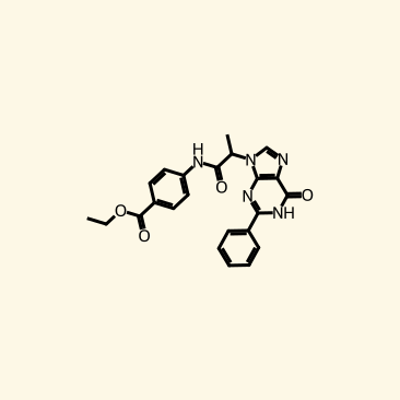 CCOC(=O)c1ccc(NC(=O)C(C)n2cnc3c(=O)[nH]c(-c4ccccc4)nc32)cc1